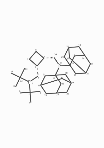 CC(C)(C)P(C[C@@H]1CC[C@@H]1CP(C12CC3CC(CC(C3)C1)C2)C12CC3CC(CC(C3)C1)C2)C(C)(C)C